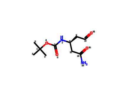 CC(C)(C)OC(=O)N[C@@H](CC=O)CC(N)=O